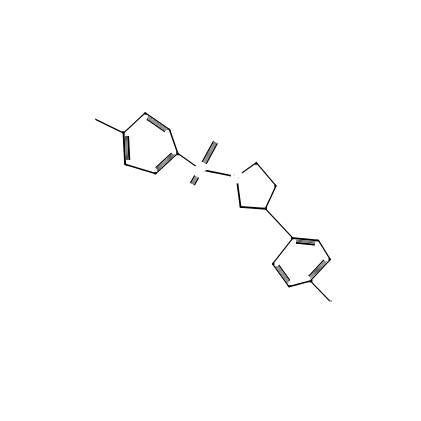 O=S(=O)(c1ccc(F)cc1)N1CCC(c2ccc(I)cc2)C1